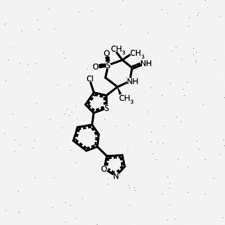 CC1(C)C(=N)N[C@](C)(c2sc(-c3cccc(-c4ccno4)c3)cc2Cl)CS1(=O)=O